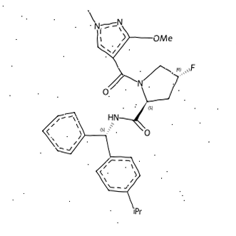 COc1nn(C)cc1C(=O)N1C[C@H](F)C[C@H]1C(=O)N[C@@H](c1ccccc1)c1ccc(C(C)C)cc1